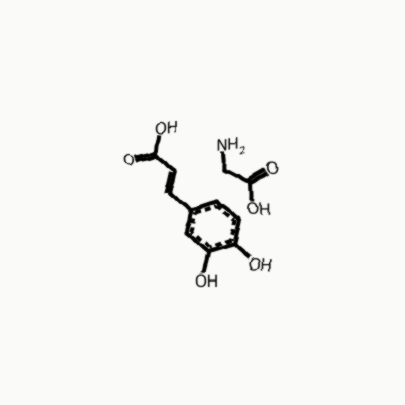 NCC(=O)O.O=C(O)C=Cc1ccc(O)c(O)c1